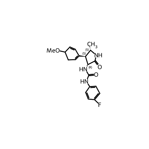 COC1C=CC([C@H]2[C@H](C)NC(=O)[C@@H]2NC(=O)Nc2ccc(F)cc2)=CC1